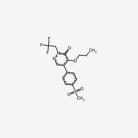 CCCOc1c(-c2ccc(S(C)(=O)=O)cc2)cnn(CC(F)(F)F)c1=O